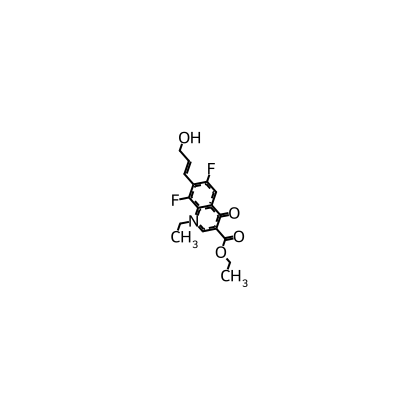 CCOC(=O)c1cn(CC)c2c(F)c(C=CCO)c(F)cc2c1=O